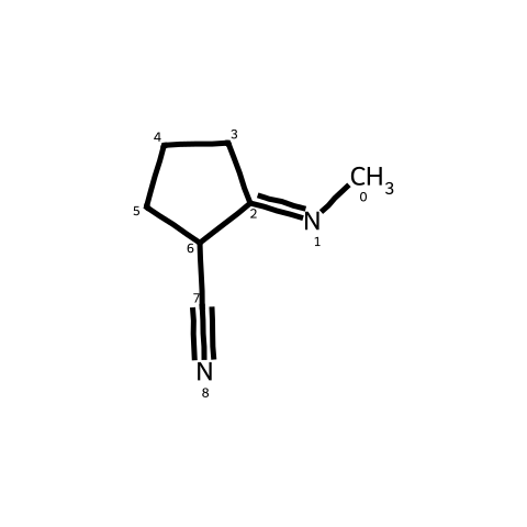 CN=C1CCCC1C#N